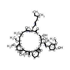 CC[C@@H](C)C/C=C/C[C@@H]1/C=C(\C)C[C@H](C)C[C@H](OC)[C@H]2O[C@@](O)(C(O)C(=O)N3CCCC[C@H]3C(=O)O[C@H](/C(C)=C/[C@@H]3CC[C@@H](O)[C@H](OC)C3)[C@H](C)[C@@H](O)CC1=O)[C@H](C)C[C@@H]2OC